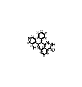 O=c1[nH]nc2c3c(cccc13)NC(c1ccncc1)C2c1ccccc1